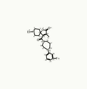 CCN1CCC2(CC1)OC(=O)C(C)=C2C(=O)N1CCCN(c2cccc(F)c2)CC1